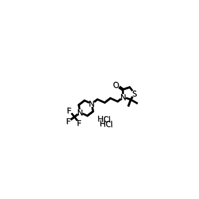 CC1(C)SCC(=O)N1CCCCN1CCN(C(F)(F)F)CC1.Cl.Cl